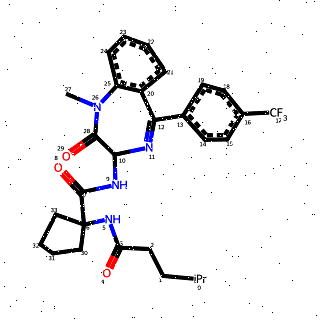 CC(C)CCC(=O)NC1(C(=O)NC2N=C(c3ccc(C(F)(F)F)cc3)c3ccccc3N(C)C2=O)CCCC1